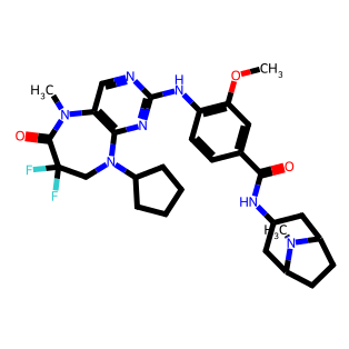 COc1cc(C(=O)NC2CC3CCC(C2)N3C)ccc1Nc1ncc2c(n1)N(C1CCCC1)CC(F)(F)C(=O)N2C